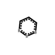 b1bcccb1